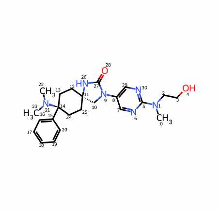 CN(CCO)c1ncc(N2C[C@]3(CC[C@](c4ccccc4)(N(C)C)CC3)NC2=O)cn1